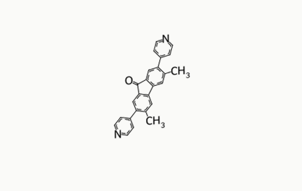 Cc1cc2c(cc1-c1ccncc1)C(=O)c1cc(-c3ccncc3)c(C)cc1-2